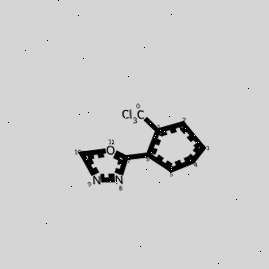 ClC(Cl)(Cl)c1ccccc1-c1nnco1